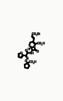 CCOC(=O)/C=C/C1=C(C(=O)O)N2C(=O)[C@@H](NC(=O)C(=NOC3(C(=O)O)CCCC3)c3ccco3)[C@H]2SC1